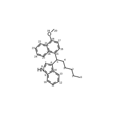 CCCCCC(c1c[nH]c2ccccc12)c1ccc(OC)c2ccccc12